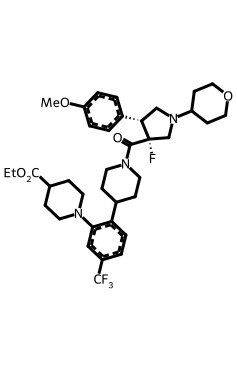 CCOC(=O)C1CCN(c2cc(C(F)(F)F)ccc2C2CCN(C(=O)[C@]3(F)CN(C4CCOCC4)C[C@H]3c3ccc(OC)cc3)CC2)CC1